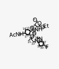 CCOC1OC(=O)CC1NS(=O)(=O)c1ccc(NC(C)=O)cc1O[C@H](C)Cn1cnc2cc(F)ccc21